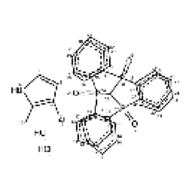 C[C]1=[C]([Zr])C=[CH][BiH]1.Cl.Cl.O=P(c1ccccc1)(c1ccccc1)C(P(=O)(c1ccccc1)c1ccccc1)P(=O)(c1ccccc1)c1ccccc1